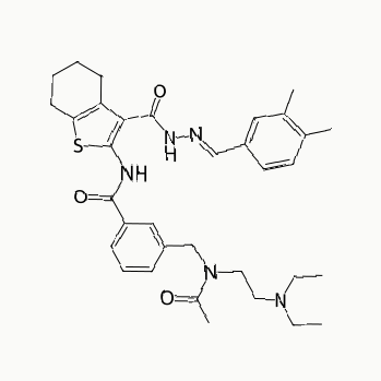 CCN(CC)CCN(Cc1cccc(C(=O)Nc2sc3c(c2C(=O)N/N=C/c2ccc(C)c(C)c2)CCCC3)c1)C(C)=O